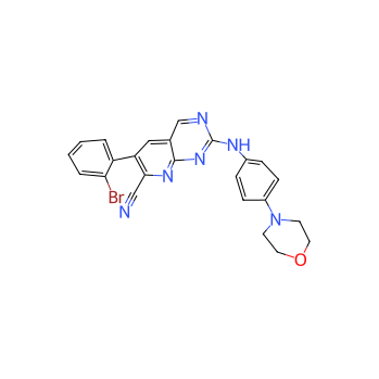 N#Cc1nc2nc(Nc3ccc(N4CCOCC4)cc3)ncc2cc1-c1ccccc1Br